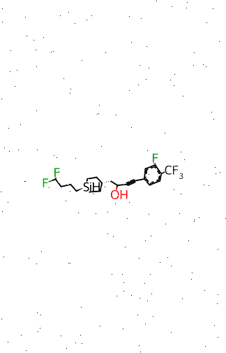 OC(C#Cc1ccc(C(F)(F)F)c(F)c1)C[C@H]1CC[Si@H](CCCC(F)F)CC1